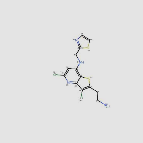 NCCc1sc2c(NCc3nccs3)cc(Cl)nc2c1Cl